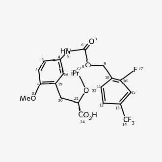 COc1ccc(NC(=O)OCc2ccc(C(F)(F)F)cc2F)cc1CC(OC(C)C)C(=O)O